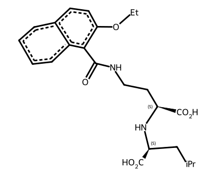 CCOc1ccc2ccccc2c1C(=O)NCC[C@H](N[C@@H](CC(C)C)C(=O)O)C(=O)O